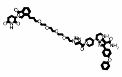 NC(=O)c1c(-c2ccc(Oc3ccccc3)cc2)nn2c1NCC[C@H]2C1CCN(C(=O)c2cn(CCOCCOCCOCCOCCCc3cccc4c3CN(C3CCC(=O)NC3=O)C4=O)nn2)CC1